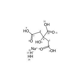 O=C(O)CC(O)(CC(=O)O)C(=O)O.[H-].[HH].[Na+]